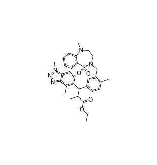 CCOC(=O)C(C)C(c1ccc(C)c(CN2CCN(C)c3ccccc3S2(=O)=O)c1)c1ccc2c(nnn2C)c1C